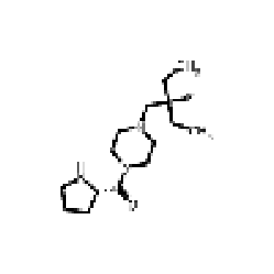 CCC(F)(CC)CN1CCN(C(=O)[C@@H]2CCCN2)CC1